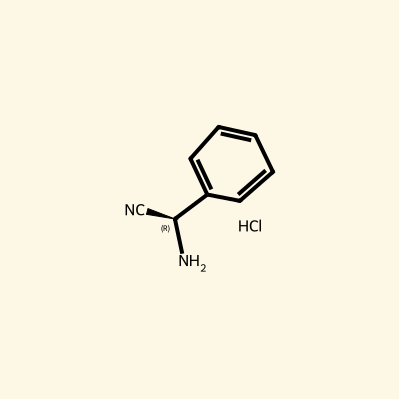 Cl.N#C[C@H](N)c1ccccc1